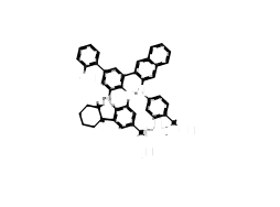 Cc1ccccc1-c1cc2c3c(c1)N1c4c(cc(C(C)(C)C)cc4C4(C)CCCCC14C)B3N(c1ccc(C(C)(C)C)cc1)c1cc3ccccc3cc1-2